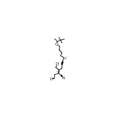 CC(OCCCC[C@H](C)C#CC/C(CCl)=C(\C#N)CC=O)C(C)(C)C